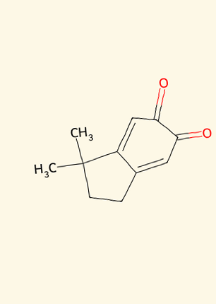 CC1(C)CCC2=CC(=O)C(=O)C=C21